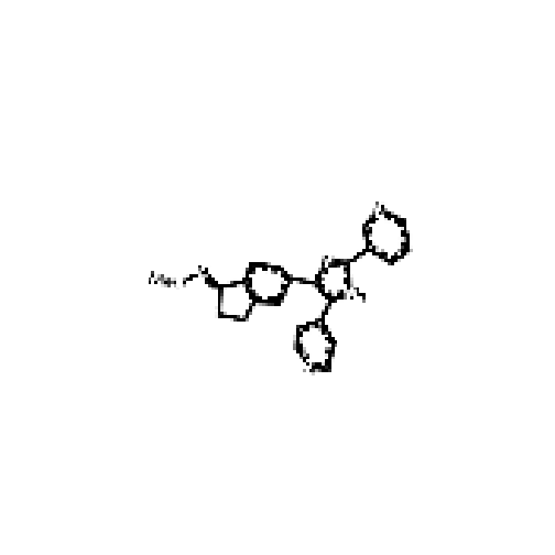 CON=C1CCc2cc(-c3nc(-c4cccnc4)[nH]c3-c3ccncc3)ccc21